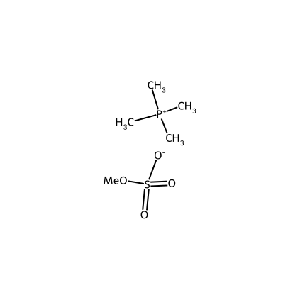 COS(=O)(=O)[O-].C[P+](C)(C)C